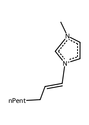 CCCCCCC=C[n+]1ccn(C)c1